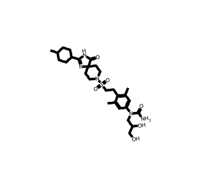 Cc1cc(N(CC(O)CO)C(N)=O)cc(C)c1CCS(=O)(=O)N1CCC2(CC1)N=C(C1CCC(C)CC1)NC2=O